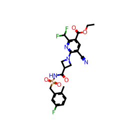 CCOC(=O)c1cc(C#N)c(N2CC(C(=O)NS(=O)(=O)Cc3cc(F)ccc3C)C2)nc1C(F)F